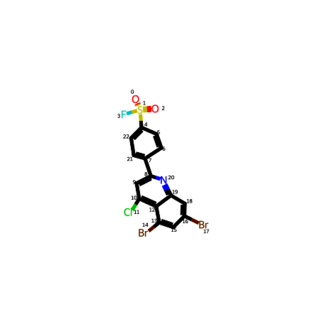 O=S(=O)(F)c1ccc(-c2cc(Cl)c3c(Br)cc(Br)cc3n2)cc1